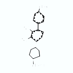 CCCCCCC[C@H]1CC[C@H](c2ccc(-c3ccc(CCCCC)cc3)c(C#N)c2C#N)CC1